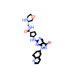 O=C(NC[C@H]1COCCN1)[C@@H]1CC[C@@H](Nc2ncc3c(Br)nn(-c4ccc5ncccc5c4)c3n2)C1